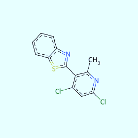 Cc1nc(Cl)cc(Cl)c1-c1nc2ccccc2s1